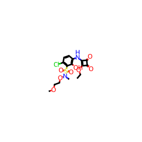 CCOc1c(Nc2ccc(Cl)c(S(=O)(=O)N(C)OCCOC)c2O)c(=O)c1=O